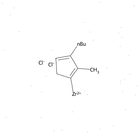 CCCCC1=CC[C]([Zr+2])=C1C.[Cl-].[Cl-]